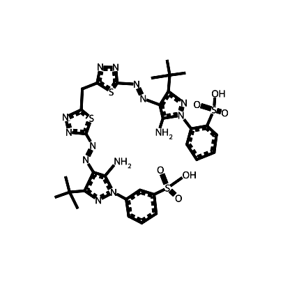 CC(C)(C)c1nn(-c2cccc(S(=O)(=O)O)c2)c(N)c1N=Nc1nnc(Cc2nnc(N=Nc3c(C(C)(C)C)nn(-c4ccccc4S(=O)(=O)O)c3N)s2)s1